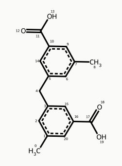 Cc1cc(Cc2cc(C)cc(C(=O)O)c2)cc(C(=O)O)c1